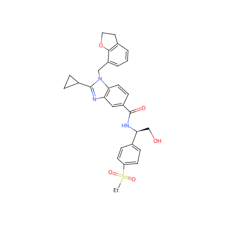 CCS(=O)(=O)c1ccc([C@H](CO)NC(=O)c2ccc3c(c2)nc(C2CC2)n3Cc2cccc3c2OCC3)cc1